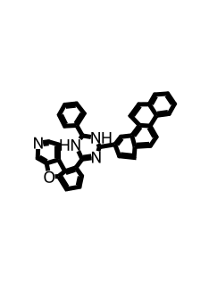 c1ccc(C2NC(c3cccc4oc5cnccc5c34)=NC(c3ccc4ccc5c6ccccc6ccc5c4c3)N2)cc1